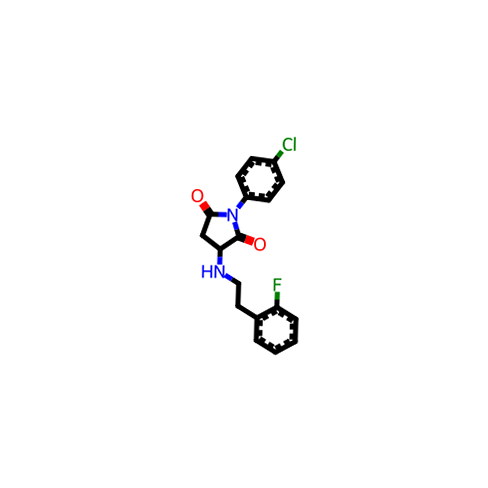 O=C1CC(NCCc2ccccc2F)C(=O)N1c1ccc(Cl)cc1